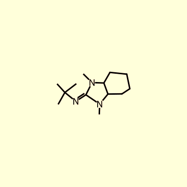 CN1C(=NC(C)(C)C)N(C)C2CCCCC21